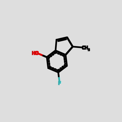 CC1C=Cc2c(O)cc(F)cc21